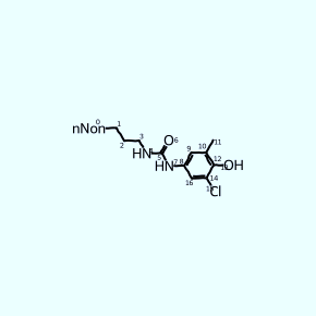 CCCCCCCCCCCCNC(=O)Nc1cc(C)c(O)c(Cl)c1